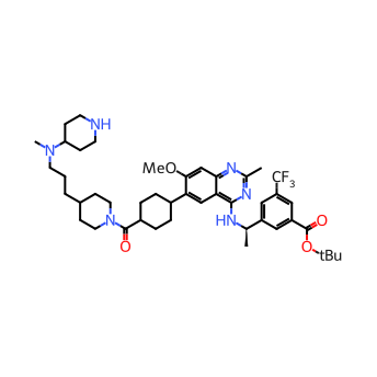 COc1cc2nc(C)nc(N[C@H](C)c3cc(C(=O)OC(C)(C)C)cc(C(F)(F)F)c3)c2cc1C1CCC(C(=O)N2CCC(CCCN(C)C3CCNCC3)CC2)CC1